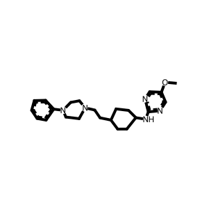 COc1cnc(NC2CCC(CCN3CCN(c4ccccc4)CC3)CC2)nc1